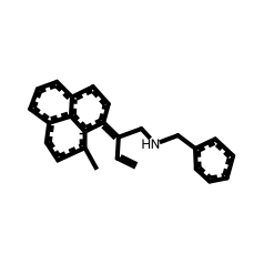 C=C/C(CNCc1ccccc1)=c1/ccc2cccc3ccc(C)c1c32